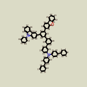 c1ccc(-c2ccc(N(c3ccc(-c4ccccc4)cc3)c3cccc(-c4cccc(-c5cc(-c6ccc7c(c6)oc6ccccc67)cc(-c6ccc7c(c6)c6ccccc6n7-c6ccccc6)c5)c4)c3)cc2)cc1